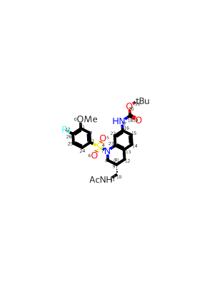 COc1cc(S(=O)(=O)N2C[C@@H](CNC(C)=O)Cc3ccc(NC(=O)OC(C)(C)C)cc32)ccc1F